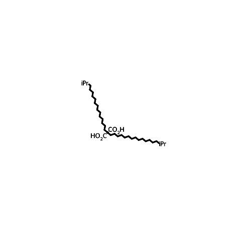 CC(C)CCCCCCCCCCCCCCC(CCCCCCCCCCCCCCC(C)C)(C(=O)O)C(=O)O